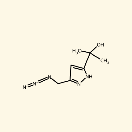 CC(C)(O)c1cc(CN=[N+]=[N-])n[nH]1